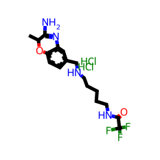 CC1Oc2ccc(CNCCCCCNC(=O)C(F)(F)F)cc2N=C1N.Cl.Cl